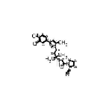 Cc1cc(-c2ccc(Cl)c(Cl)c2)nn1CCC(C)(C)NCC(=O)N1CCC[C@H]1C#N